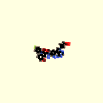 Nc1ncnc2c1c(-c1ccc(NC(=O)c3cc4c(n(-c5ccc(F)cc5)c3=O)CCCC4=O)cc1)cn2[C@H]1C[C@@H](CO)C1